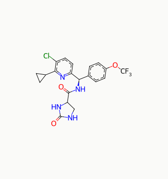 O=C1NCC(C(=O)N[C@H](c2ccc(OC(F)(F)F)cc2)c2ccc(Cl)c(C3CC3)n2)N1